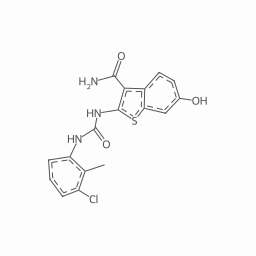 Cc1c(Cl)cccc1NC(=O)Nc1sc2cc(O)ccc2c1C(N)=O